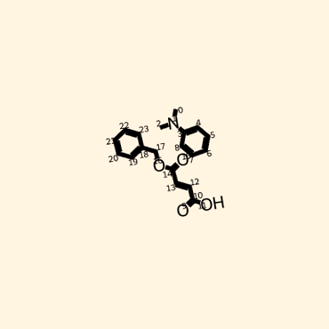 CN(C)c1ccccc1.O=C(O)/C=C/C(=O)OCc1ccccc1